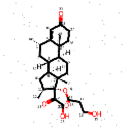 C[C@H]1C[C@@H]2[C@H](CC[C@@]3(C)[C@H]2C[C@H](C)[C@]3(OC(=O)CCO)C(=O)CO)[C@@]2(C)CCC(=O)C=C12